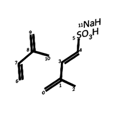 C=C(C)C=CS(=O)(=O)O.C=CC(=C)C.[NaH]